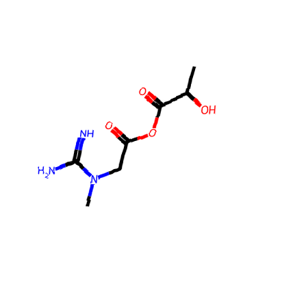 CC(O)C(=O)OC(=O)CN(C)C(=N)N